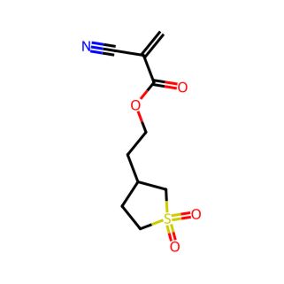 C=C(C#N)C(=O)OCCC1CCS(=O)(=O)C1